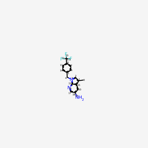 Cc1cn(Cc2ccc(C(F)(F)F)cc2)c2ncc(N)cc12